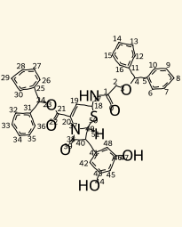 O=C(COC(c1ccccc1)c1ccccc1)NC1C=C(C(=O)OC(c2ccccc2)c2ccccc2)N2C(=O)C(c3cc(O)cc(O)c3)[C@H]2S1